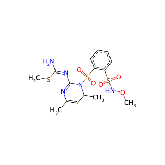 CONS(=O)(=O)c1ccccc1S(=O)(=O)N1C(N=C(N)SC)=NC(C)=CC1C